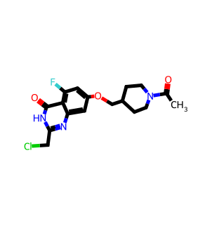 CC(=O)N1CCC(COc2cc(F)c3c(=O)[nH]c(CCl)nc3c2)CC1